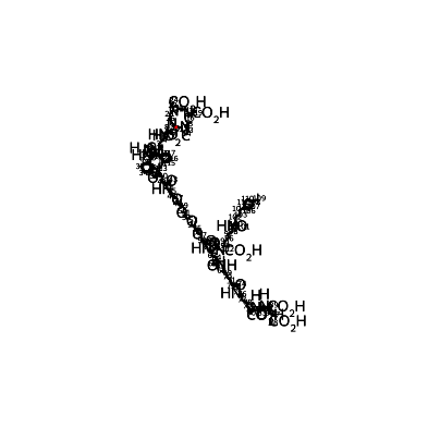 CN(CCCNC(=O)CN1CCN(CC(=O)O)CCN(CC(=O)O)CCN(CC(=O)O)CC1)/C1=C(\NN)c2ccccc2N(C(=O)CCC(=O)NCCOCCOCCOCCOCCC(=O)NC(CCC(=O)NCCCCCC(=O)NCCCCC(NC(=O)NC(CCC(=O)O)C(=O)O)C(=O)O)C(=O)NC(CCCCNC(=O)CCCc2ccc(I)cc2)C(=O)O)Cc2ccccc21